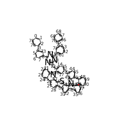 c1ccc(-c2cccc(-c3nc(Cc4ccccc4-n4c5ccccc5c5ccc6c7ccc8c9ccccc9n(-c9ccccc9-c9ccccc9)c8c7sc6c54)nc(-c4cccc(-c5ccccc5)c4)n3)c2)cc1